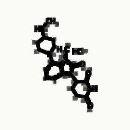 CNC1CCN(c2cccc3c2n(C)c(=O)n3C2CCC(=O)NC2=O)CC1.Cl